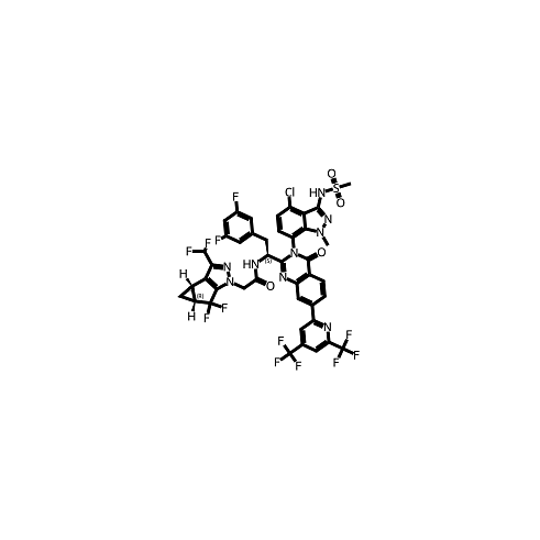 Cn1nc(NS(C)(=O)=O)c2c(Cl)ccc(-n3c([C@H](Cc4cc(F)cc(F)c4)NC(=O)Cn4nc(C(F)F)c5c4C(F)(F)[C@@H]4C[C@H]54)nc4cc(-c5cc(C(F)(F)F)cc(C(F)(F)F)n5)ccc4c3=O)c21